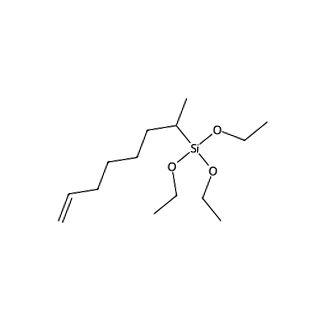 C=CCCCCC(C)[Si](OCC)(OCC)OCC